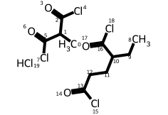 CC(C(=O)Cl)C(=O)Cl.CCC(CCC(=O)Cl)C(=O)Cl.Cl